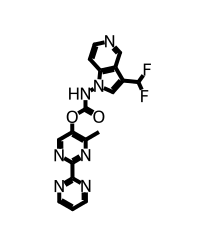 Cc1nc(-c2ncccn2)ncc1OC(=O)Nn1cc(C(F)F)c2cnccc21